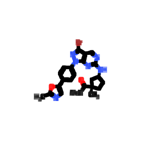 CNC(=O)[C@]1(C)CC[C@@H](Nc2ncc3c(Br)nn(-c4ccc(-c5cnc(C)o5)cc4)c3n2)C1